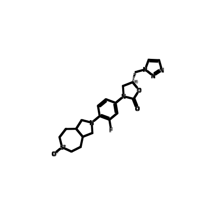 O=C1O[C@@H](Cn2ccnn2)CN1c1ccc(N2CC3CC[S+]([O-])CCC3C2)c(F)c1